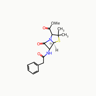 COC(=O)C1N2C(=O)C(NC(=O)Cc3ccccc3)[C@@H]2SC1(C)C